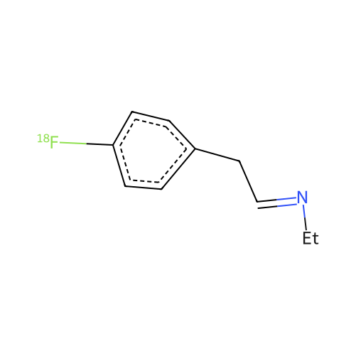 CCN=CCc1ccc([18F])cc1